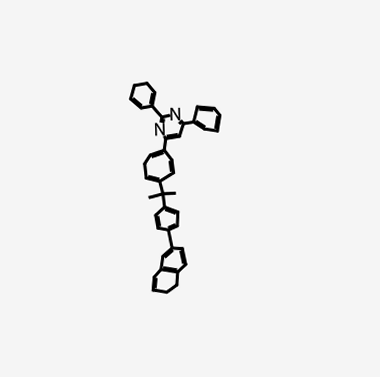 CC(C)(C1=CCC=C(c2cc(-c3ccccc3)nc(C3=CCCC=C3)n2)C=C1)c1ccc(-c2ccc3c(c2)C=CCC3)cc1